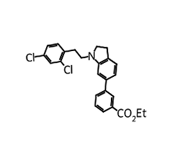 CCOC(=O)c1cccc(-c2ccc3c(c2)N(CCc2ccc(Cl)cc2Cl)CC3)c1